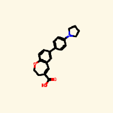 O=C(O)C1=Cc2cc(-c3ccc(N4CCCC4)cc3)ccc2OCC1